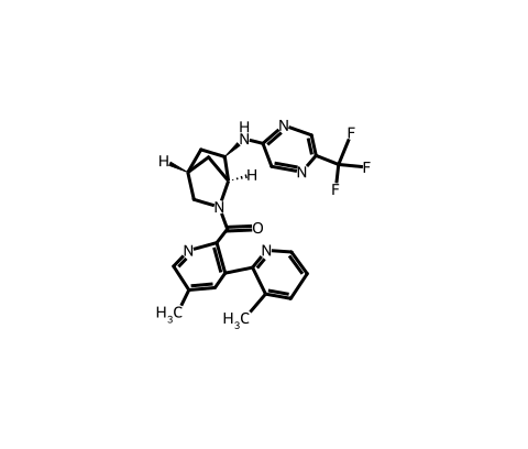 Cc1cnc(C(=O)N2C[C@@H]3C[C@@H](Nc4cnc(C(F)(F)F)cn4)[C@@H]2C3)c(-c2ncccc2C)c1